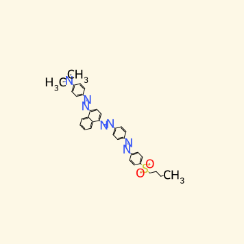 CCCCS(=O)(=O)c1ccc(N=Nc2ccc(N=Nc3ccc(N=Nc4ccc(N(C)C)cc4)c4ccccc34)cc2)cc1